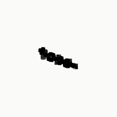 CC(C)(C)OC(=O)N1CCN(c2ncc(-c3ccc(C#N)nc3)cn2)CC1